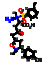 Cc1cccc(S(=O)(=O)[N+](C)(N)[C@@H](CC(=O)C[C@H]2C[C@@H](c3ccc(C#N)cc3)N(C)O2)C(=O)O)c1